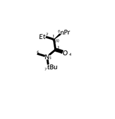 CCC[C@H](CC)C(=O)N(C)C(C)(C)C